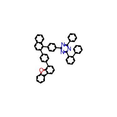 c1ccc(-c2nc(-c3ccc(-c4c(-c5ccc(-c6cccc7c6oc6ccccc67)cc5)ccc5ccccc45)cc3)nc(-c3ccccc3-c3ccccc3)n2)cc1